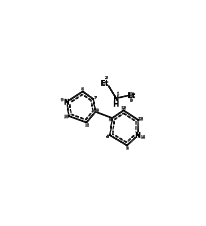 CCNCC.c1cc(-c2ccncc2)ccn1